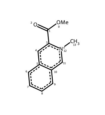 COC(=O)c1cc2ccccc2c[n+]1C